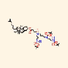 CC(C)CCC[C@@H](C)[C@H]1CC[C@H]2[C@@H]3CC=C4C[C@@H](OC(=O)CCC(=O)N(CCCCN(CCCNC(=O)OC(C)(C)C)C(=O)OC(C)(C)C)CCCNC(=O)OC(C)(C)C)CC[C@]4(C)[C@H]3CC[C@]12C